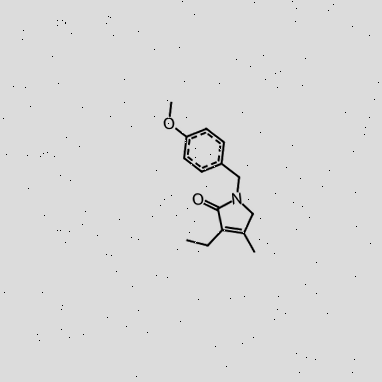 CCC1=C(C)CN(Cc2ccc(OC)cc2)C1=O